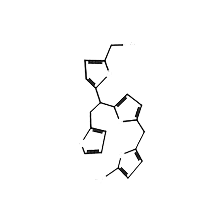 CC(=O)OCc1ccc(C(Cc2ccco2)c2ccc(Cc3ccc(C)o3)o2)o1